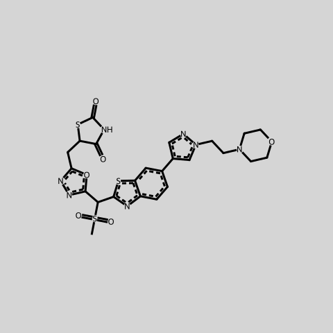 CS(=O)(=O)C(c1nnc(CC2SC(=O)NC2=O)o1)c1nc2ccc(-c3cnn(CCN4CCOCC4)c3)cc2s1